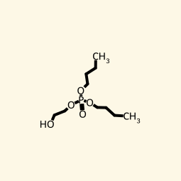 CCCCOP(=O)(OCCO)OCCCC